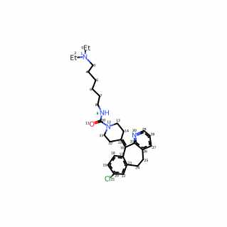 CCN(CC)CCCCCCNC(=O)N1CCC(=C2c3ccc(Cl)cc3CCc3cccnc32)CC1